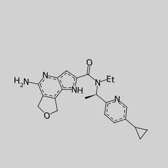 CCN(C(=O)c1cc2nc(N)c3c(c2[nH]1)COC3)[C@H](C)c1ccc(C2CC2)cn1